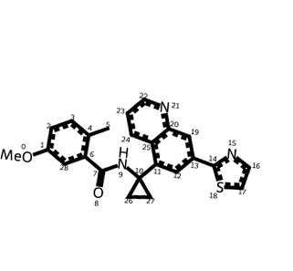 COc1ccc(C)c(C(=O)NC2(c3cc(-c4nccs4)cc4ncccc34)CC2)c1